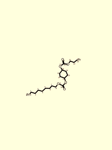 CC(C)CCCCCCCCOC(=O)OC1CCC(OC(=O)OCCC(C)C)CC1